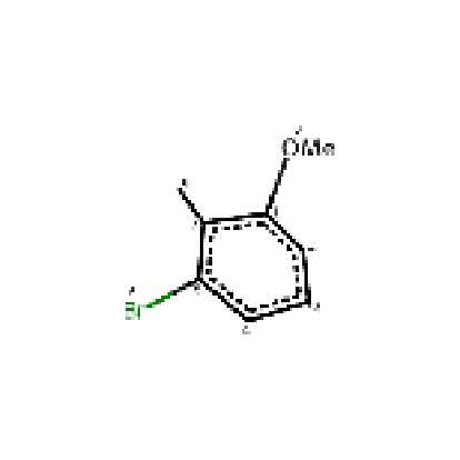 COc1c[c]cc(Br)c1C